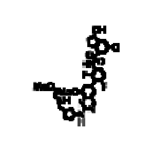 COCCNCC1CCC(Nc2ncc3cc(-c4c(F)ccc(NS(=O)(=O)c5cc(Cl)cc6c5CCC6O)c4F)cc(OC)c3n2)C1